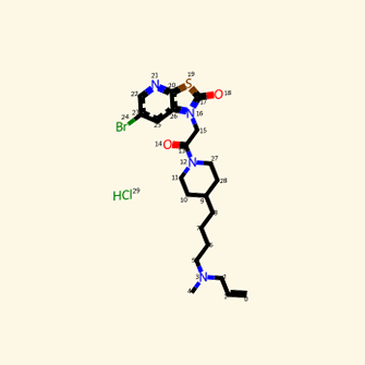 C=CCN(C)CCCCC1CCN(C(=O)Cn2c(=O)sc3ncc(Br)cc32)CC1.Cl